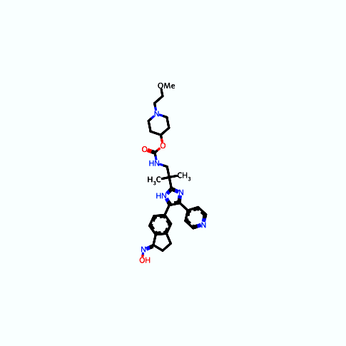 COCCN1CCC(OC(=O)NCC(C)(C)c2nc(-c3ccncc3)c(-c3ccc4c(c3)CCC4=NO)[nH]2)CC1